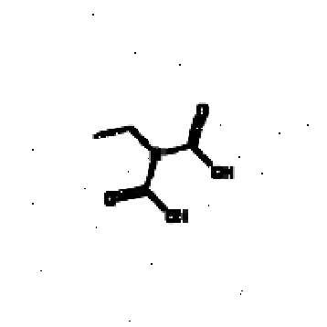 CC[N+](C(=O)O)C(=O)O